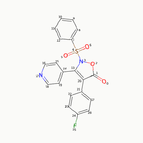 O=c1on(S(=O)(=O)c2ccccc2)c(-c2ccncc2)c1-c1ccc(F)cc1